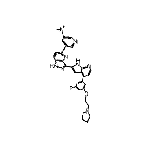 CN(C)c1cncc(-c2ccc3[nH]nc(-c4cc5c(-c6cc(F)cc(OCCN7CCCC7)c6)ccnc5[nH]4)c3n2)c1